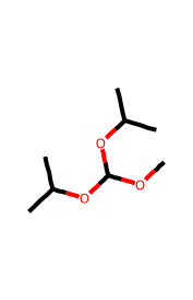 COC(OC(C)C)OC(C)C